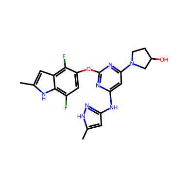 Cc1cc(Nc2cc(N3CCC(O)C3)nc(Oc3cc(F)c4[nH]c(C)cc4c3F)n2)n[nH]1